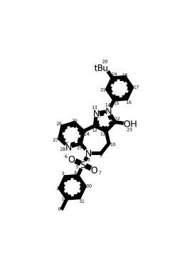 Cc1ccc(S(=O)(=O)N2CCc3c(nn(-c4cccc(C(C)(C)C)c4)c3O)-c3cccnc32)cc1